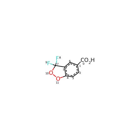 O=C(O)c1ccc2c(c1)C(F)(F)OO2